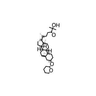 C[C@H](CCC(=O)C(C)(C)O)[C@H]1CC[C@H]2[C@@H]3CC=C4C[C@@H](OC5CCCCO5)CC[C@]4(C)[C@H]3CC[C@]12C